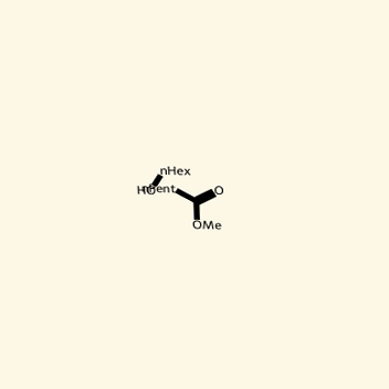 CCCCCC(=O)OC.CCCCCCO